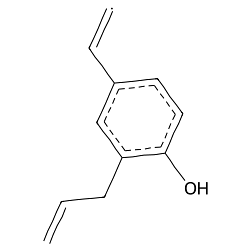 [CH]=Cc1ccc(O)c(CC=C)c1